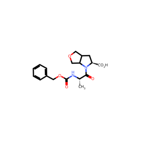 C[C@H](NC(=O)OCc1ccccc1)C(=O)N1C2COCC2C[C@H]1C(=O)O